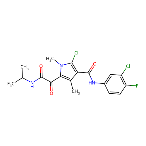 Cc1c(C(=O)Nc2ccc(F)c(Cl)c2)c(Cl)n(C)c1C(=O)C(=O)NC(C)C(F)(F)F